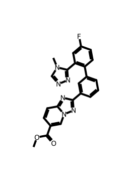 COC(=O)c1ccc2nc(-c3cccc(-c4ccc(F)cc4-c4nncn4C)c3)nn2c1